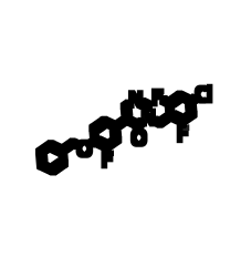 O=c1c(-c2ccc(OCc3ccccc3)c(F)c2)cncn1Cc1c(F)cc(Cl)cc1F